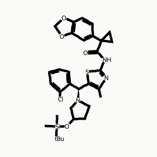 Cc1nc(NC(=O)C2(c3ccc4c(c3)OCO4)CC2)sc1[C@H](c1ccccc1Cl)N1CCC(O[Si](C)(C)C(C)(C)C)C1